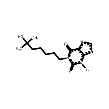 CCn1c(=O)n(CCCCCC(C)(C)O)c(=O)c2[nH]cnc21